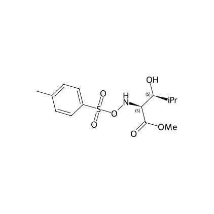 COC(=O)[C@@H](NOS(=O)(=O)c1ccc(C)cc1)[C@@H](O)C(C)C